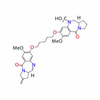 C=C1C[C@@H]2C=Nc3cc(OCCCCCOc4cc5c(cc4OC)C(=O)N4CCC[C@@H]4CN5C(=O)O)c(OC)cc3C(=O)N2C1